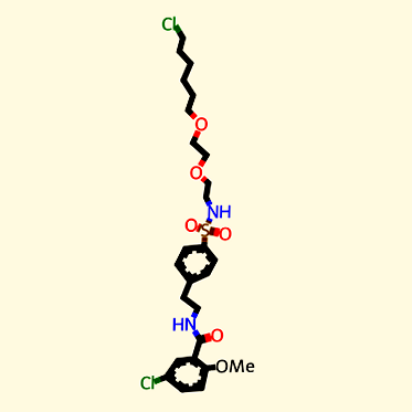 COc1ccc(Cl)cc1C(=O)NCCc1ccc(S(=O)(=O)NCCOCCOCCCCCCCl)cc1